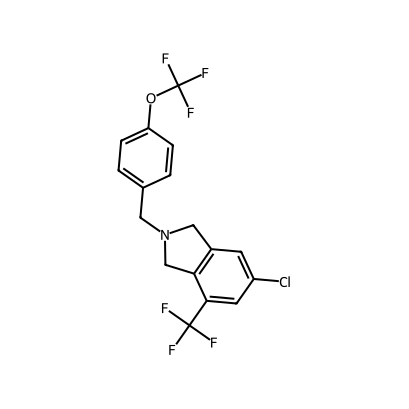 FC(F)(F)Oc1ccc(CN2Cc3cc(Cl)cc(C(F)(F)F)c3C2)cc1